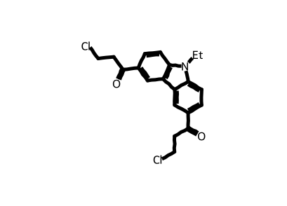 CCn1c2ccc(C(=O)CCCl)cc2c2cc(C(=O)CCCl)ccc21